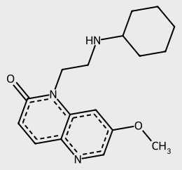 COc1cnc2ccc(=O)n(CCNC3CCCCC3)c2c1